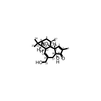 CC1=C[C@H]2[C@@]3(O)[C@H](I)C[C@]4(C)[C@@H]([C@@H]3C=C(CO)C[C@]2(O)C1=O)C4(C)C